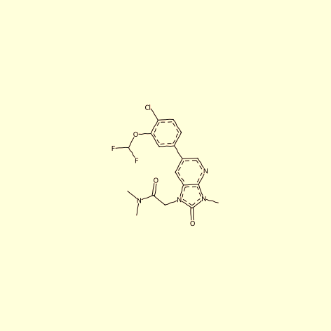 CN(C)C(=O)Cn1c(=O)n(C)c2ncc(-c3ccc(Cl)c(OC(F)F)c3)cc21